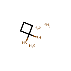 S.S.S.SC1(S)CCC1